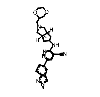 Cn1cc2cc(-c3cc(C#N)c(NC4C[C@@H]5CN(CC6COCCO6)C[C@@H]5C4)nn3)ccc2n1